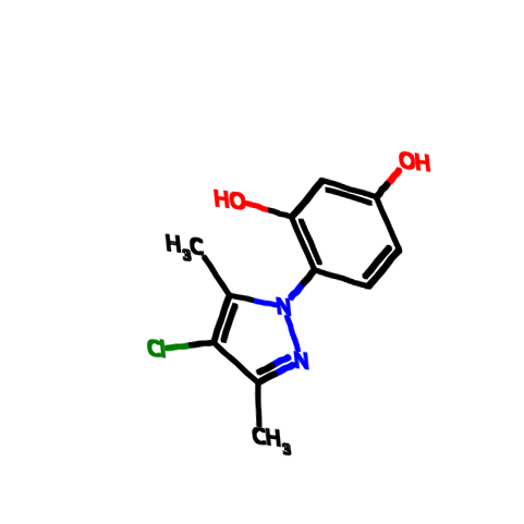 Cc1nn(-c2ccc(O)cc2O)c(C)c1Cl